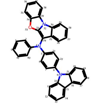 c1ccc(N(c2ccc(-n3c4ccccc4c4ccccc43)cc2)c2c3ccccc3n3c2oc2ccccc23)cc1